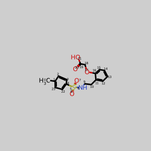 Cc1ccc(S(=O)(=O)NCCc2ccccc2OCC(=O)O)cc1